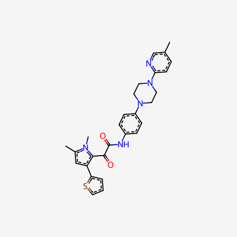 Cc1ccc(N2CCN(c3ccc(NC(=O)C(=O)c4c(-c5cccs5)cc(C)n4C)cc3)CC2)nc1